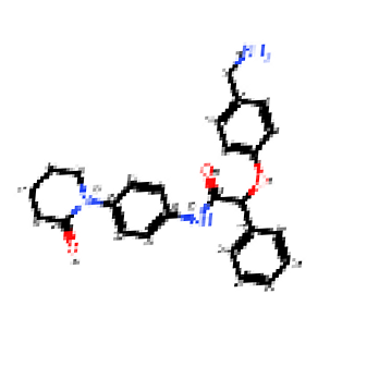 NCc1ccc(OC(C(=O)Nc2ccc(N3CCCCC3=O)cc2)c2ccccc2)cc1